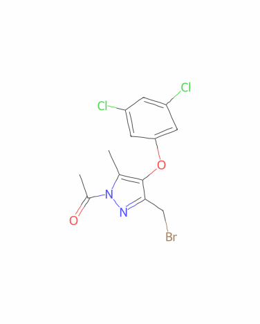 CC(=O)n1nc(CBr)c(Oc2cc(Cl)cc(Cl)c2)c1C